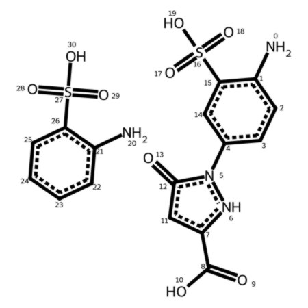 Nc1ccc(-n2[nH]c(C(=O)O)cc2=O)cc1S(=O)(=O)O.Nc1ccccc1S(=O)(=O)O